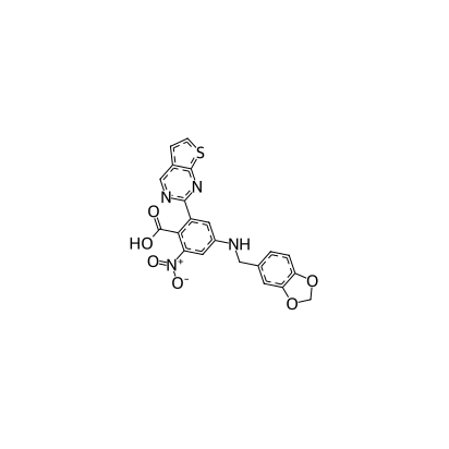 O=C(O)c1c(-c2ncc3ccsc3n2)cc(NCc2ccc3c(c2)OCO3)cc1[N+](=O)[O-]